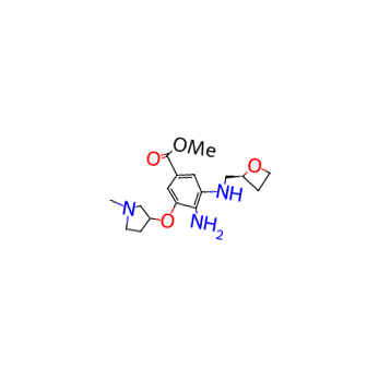 COC(=O)c1cc(NC[C@@H]2CCO2)c(N)c(OC2CCN(C)C2)c1